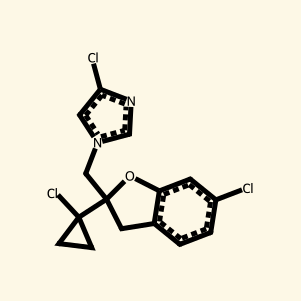 Clc1ccc2c(c1)OC(Cn1cnc(Cl)c1)(C1(Cl)CC1)C2